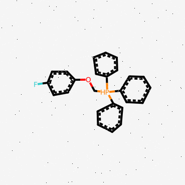 Fc1ccc(OC[PH](c2ccccc2)(c2ccccc2)c2ccccc2)cc1